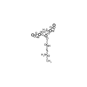 CCCCC(=O)C(N)CCSSCCNC(=O)CCCCOc1cc(COc2cc3c(cc2OC)C(=O)N2c4ccccc4CC2C=N3)cc(COc2cc3c(cc2OC)C(=O)N2c4ccccc4CC2C=N3)c1